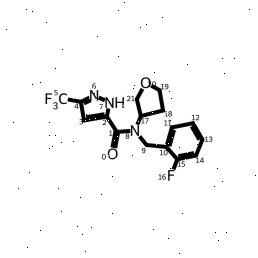 O=C(c1cc(C(F)(F)F)n[nH]1)N(Cc1ccccc1F)C1CCOC1